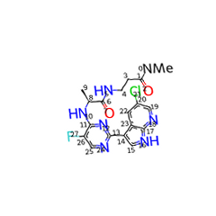 CNC(=O)CCNC(=O)[C@H](C)Nc1nc(-c2c[nH]c3ncc(Cl)cc23)ncc1F